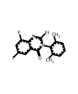 CCc1nc2c(F)cc(I)cc2c(=O)n1-c1c(C)cccc1C